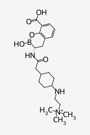 C[N+](C)(C)CCNC1CCC(CC(=O)N[C@H]2Cc3cccc(C(=O)O)c3OB2O)CC1